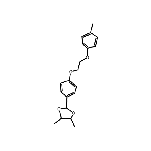 Cc1ccc(OCCOc2ccc(C3OC(C)C(C)O3)cc2)cc1